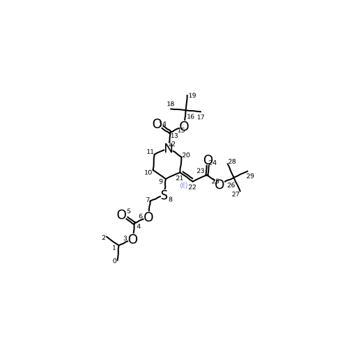 CC(C)OC(=O)OCSC1CCN(C(=O)OC(C)(C)C)C/C1=C\C(=O)OC(C)(C)C